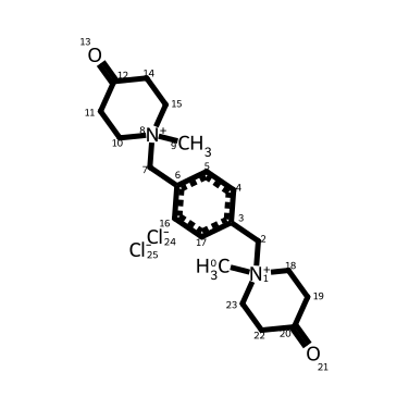 C[N+]1(Cc2ccc(C[N+]3(C)CCC(=O)CC3)cc2)CCC(=O)CC1.[Cl-].[Cl-]